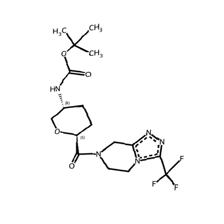 CC(C)(C)OC(=O)N[C@@H]1CC[C@@H](C(=O)N2CCn3c(nnc3C(F)(F)F)C2)OC1